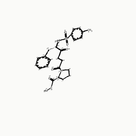 Cc1ccc(S(=O)(=O)N[C@@H](Cc2ccccc2)C(=O)CCC(=O)N2CCC[C@H]2C(=O)OC(C)(C)C)cc1